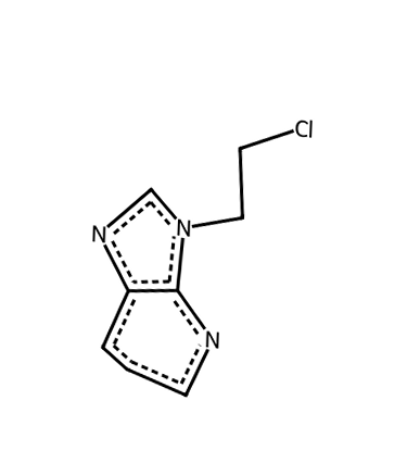 ClCCn1cnc2cccnc21